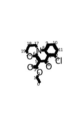 CCOC(=O)c1c2n(c3cccc(Cl)c3c1=O)CCCO2